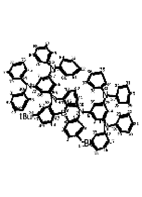 CC(C)(C)c1ccc2c(c1)N(c1cc(N(c3ccccc3)c3ccccc3)cc(N(c3ccccc3)c3ccccc3)c1)c1cccc3c1B2c1ccc(C(C)(C)C)cc1N3c1cc(N(c2ccccc2)c2ccccc2)cc(N(c2ccccc2)c2ccccc2)c1